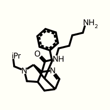 CC(C)CN1CC2CC3C=NC2(C(=O)NCCCCN)C1C3Cc1ccccc1